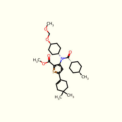 COCO[C@H]1CC[C@H](N(c2cc(C3=CCC(C)(C)CC3)sc2C(=O)OC)C(=O)[C@H]2CC[C@H](C)CC2)CC1